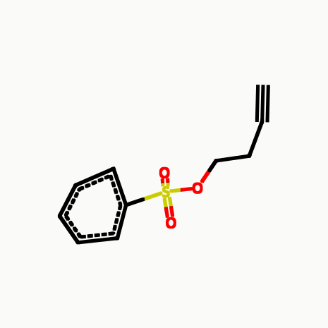 C#CCCOS(=O)(=O)c1ccccc1